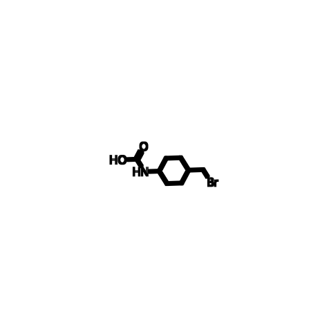 O=C(O)NC1CCC(CBr)CC1